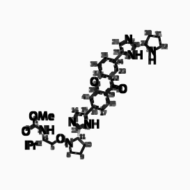 COC(=O)N[C@H](CON1CCC[C@H]1c1ncc(-c2ccc3c(=O)c4cc(-c5cnc([C@@H]6CCCN6)[nH]5)ccc4oc3c2)[nH]1)C(C)C